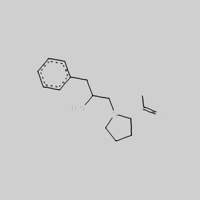 NC(Cc1ccccc1)CN1CCC[C@H]1C(=O)O